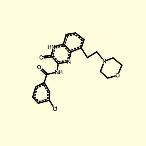 O=C(Nc1nc2c(CCN3CCOCC3)cccc2[nH]c1=O)c1cccc(Cl)c1